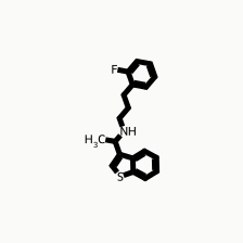 CC(NCCCc1ccccc1F)c1csc2ccccc12